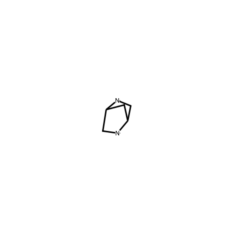 C1[N]C2C[N]C1C2